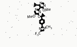 COc1cnc(-c2c(OC)ncnc2C2CC2)nc1OC1(c2ccc(-c3nc(C(F)(F)F)cn3C)cc2)CC1